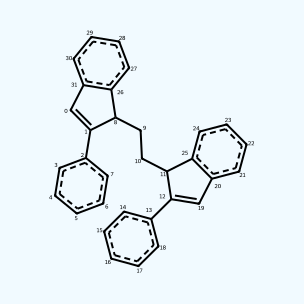 C1=C(c2ccccc2)C(CCC2C(c3ccccc3)=Cc3ccccc32)c2ccccc21